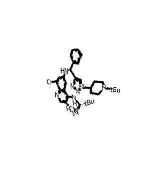 C[C@H](Nc1c(C#N)cnc2c(Cl)cc(N[C@@H](c3ccccc3)c3cn(C4CCN(C(C)(C)C)CC4)nn3)cc12)C(C)(C)C